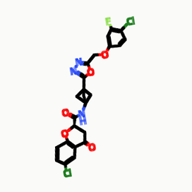 O=C1C[C@H](C(=O)NC23CC(c4nnc(COc5ccc(Cl)c(F)c5)o4)(C2)C3)Oc2ccc(Cl)cc21